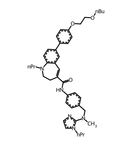 CCCCOCCOc1ccc(-c2ccc3c(c2)C=C(C(=O)Nc2ccc(CN(C)c4nccn4CCC)cc2)CCN3CCC)cc1